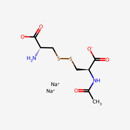 CC(=O)N[C@@H](CSSC[C@H](N)C(=O)[O-])C(=O)[O-].[Na+].[Na+]